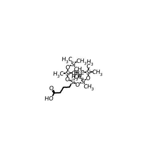 C[Si](C)(C)O[Si](C)(C)O[Si](C)(CCCC(=O)O)O[Si](C)(C)O[Si](C)(C)C